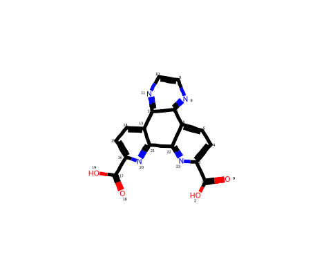 O=C(O)c1ccc2c3nccnc3c3ccc(C(=O)O)nc3c2n1